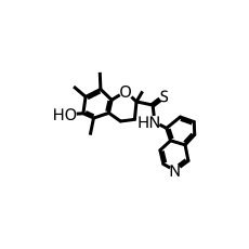 Cc1c(C)c2c(c(C)c1O)CCC(C)(C(=S)Nc1cccc3cnccc13)O2